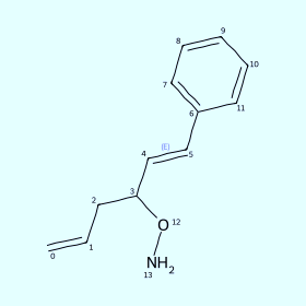 C=CCC(/C=C/c1ccccc1)ON